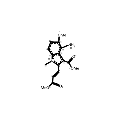 COC(=O)C=Cc1c(C(=O)OC)c2c(N)c(OC)ccc2n1C